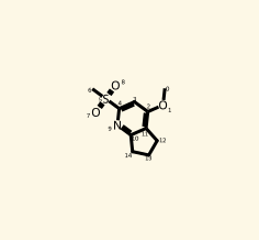 COc1cc(S(C)(=O)=O)nc2c1CCC2